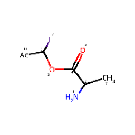 CC(=O)C(I)OC(=O)C(C)N